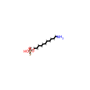 NCCCCCCCCCCCOS(=O)(O)=S